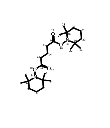 CC1(C)CCCC(C)(C)N1OC(=O)CCCC(=O)ON1C(C)(C)CCCC1(C)C